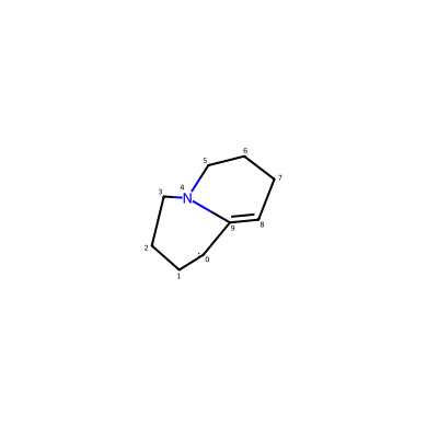 [C]1CCCN2CCCC=C12